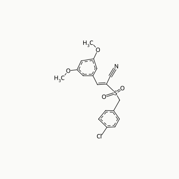 COc1cc(C=C(C#N)S(=O)(=O)Cc2ccc(Cl)cc2)cc(OC)c1